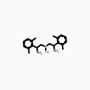 Cc1cccc(C)c1C(N)C[N]([Cu])CC(N)c1c(C)cccc1C